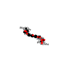 COC(=O)N[C@H](C(=O)C1[C@@H]2CC[C@@H](C2)[C@H]1c1nc2ccc(-c3ccc(-c4ccc(-c5ccc6nc([C@@H]7[C@H]8CC[C@H](C8)N7C(=O)[C@@H](NC(=O)OC)C(C)C)[nH]c6c5)cc4)cc3)cc2[nH]1)C(C)C